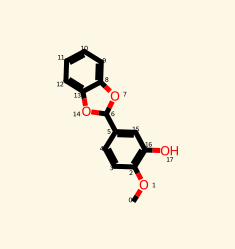 COc1ccc(C2Oc3ccccc3O2)cc1O